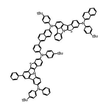 CC(C)(C)c1ccc(N(c2ccc3ccccc3c2)c2ccc3c(c2)sc2c3c3ccc(N(c4ccc(C(C)(C)C)cc4)c4ccc5cc(-c6cccc(N(c7ccc(C(C)(C)C)cc7)c7ccc8c(c7)sc7c9cc(-c%10ccccc%10)cc%10c%11cc(N(c%12ccccc%12)c%12ccc(C(C)(C)C)cc%12)ccc%11n(c%109)c87)c6)ccc5c4)c4c5ccccc5n2c34)cc1